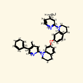 Cc1cc(N2CCCc3ccc(Oc4ccc5c(c4)N(c4cc(C(C)(C)C)ccn4)CCC5)cc32)ncc1-c1ccccc1